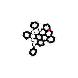 c1ccc(Oc2c(Oc3ccccc3)c3c(Oc4ccccc4)ccc4c5cccc6cccc(c(c2Oc2ccccc2)c34)c65)cc1